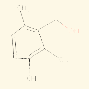 Cc1ccc(C)c([CH]O)c1C